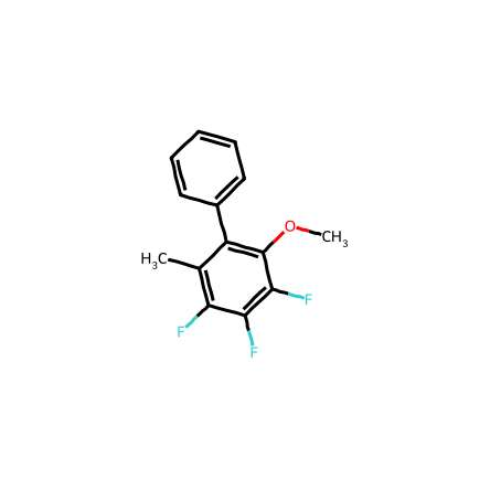 COc1c(F)c(F)c(F)c(C)c1-c1ccccc1